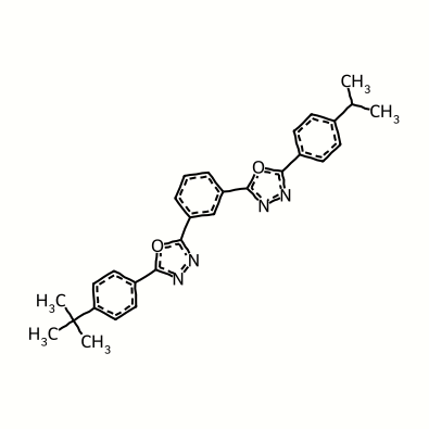 CC(C)c1ccc(-c2nnc(-c3cccc(-c4nnc(-c5ccc(C(C)(C)C)cc5)o4)c3)o2)cc1